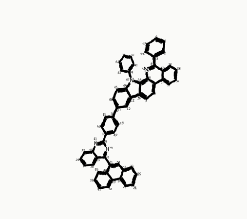 c1ccc(-c2nc3c(ccc4c5cc(-c6ccc(-c7nc(-c8cc9ccccc9c9ccccc89)c8ccccc8n7)cc6)ccc5n(-c5ccccc5)c43)c3ccccc23)cc1